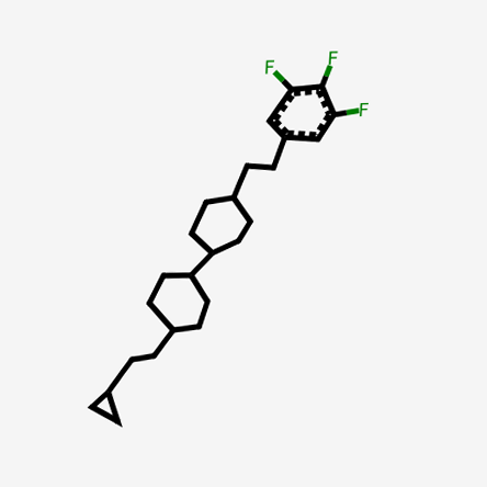 Fc1cc(CCC2CCC(C3CCC(CCC4CC4)CC3)CC2)cc(F)c1F